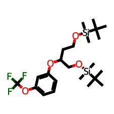 CC(C)(C)[Si](C)(C)OCCC(CO[Si](C)(C)C(C)(C)C)Oc1cccc(OC(F)(F)F)c1